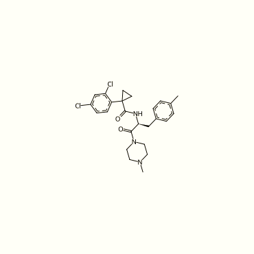 Cc1ccc(C[C@H](NC(=O)C2(c3ccc(Cl)cc3Cl)CC2)C(=O)N2CCN(C)CC2)cc1